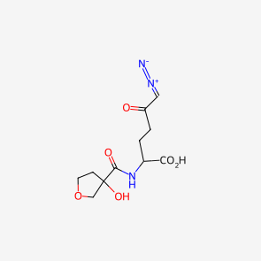 [N-]=[N+]=CC(=O)CCC(NC(=O)C1(O)CCOC1)C(=O)O